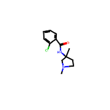 CN1CCC(C)(NC(=O)c2ccccc2Cl)C1